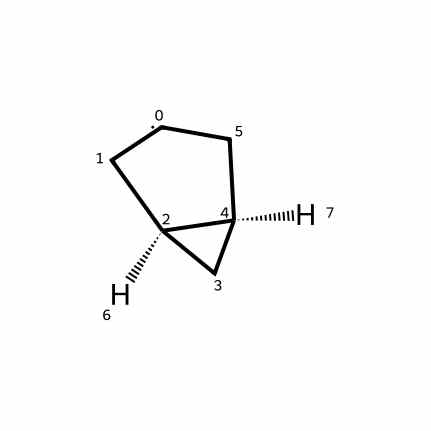 [CH]1C[C@@H]2C[C@@H]2C1